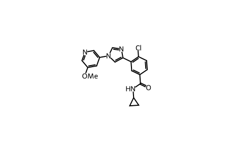 COc1cncc(-n2cnc(-c3cc(C(=O)NC4CC4)ccc3Cl)c2)c1